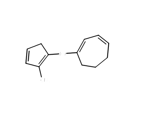 CC1=[C]([Ru][C]2=CC=CCCC2)CC=C1